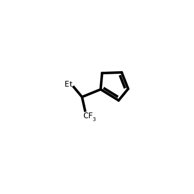 CCC(C1=CC=CC1)C(F)(F)F